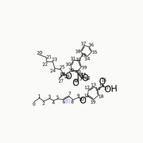 CCCCCC/C=C/CCOc1ccc(C(=O)O)cc1.CCCCCC[C@H](C)Oc1ccc(-c2ccccc2)cc1[N+](=O)[O-]